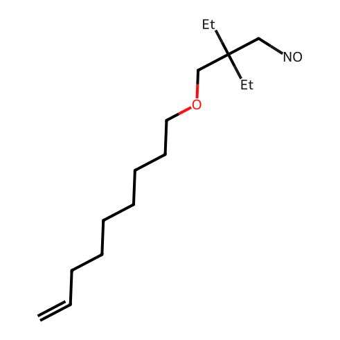 C=CCCCCCCCOCC(CC)(CC)CN=O